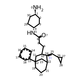 N[C@H]1CC[C@H](NC(=O)CCC2CC3(c4ccccc4)CCCC(C3)/C2=C\C2CC2)CC1